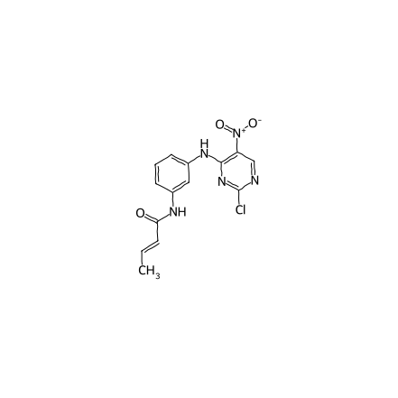 CC=CC(=O)Nc1cccc(Nc2nc(Cl)ncc2[N+](=O)[O-])c1